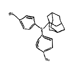 CC(C)(C)c1ccc([S+](c2ccc(C(C)(C)C)cc2)C23CC4CC(CC(C4)C2)C3)cc1